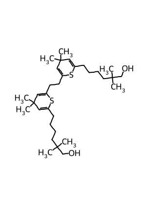 CC1(C)C=C(CCCCC(C)(C)CO)SC(CCC2=CC(C)(C)C=C(CCCCC(C)(C)CO)S2)=C1